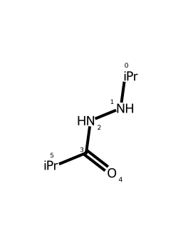 CC(C)NNC(=O)C(C)C